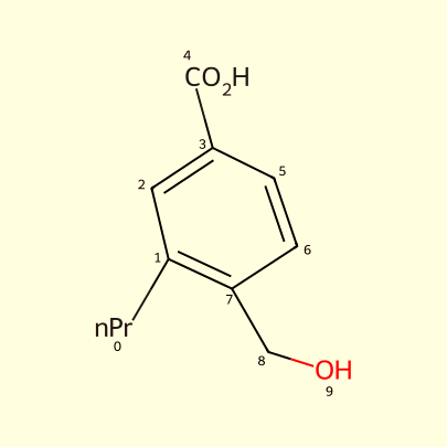 CCCc1cc(C(=O)O)ccc1CO